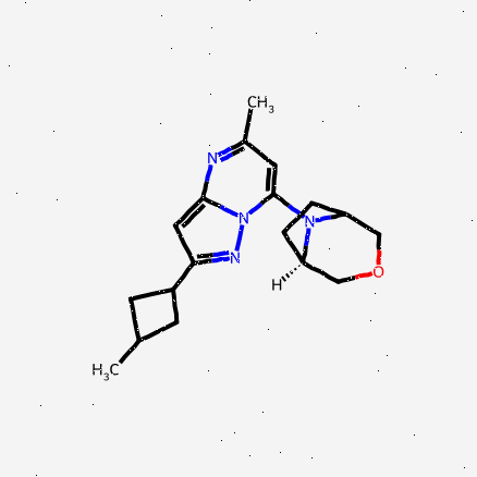 Cc1cc(N2C3CC[C@@H]2COC3)n2nc(C3CC(C)C3)cc2n1